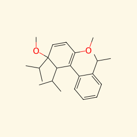 COC1=C(c2ccccc2C(C)C)C(C(C)C)C(OC)(C(C)C)C=C1